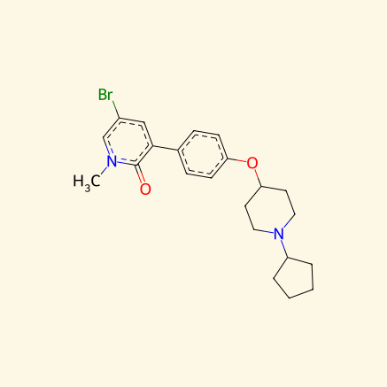 Cn1cc(Br)cc(-c2ccc(OC3CCN(C4CCCC4)CC3)cc2)c1=O